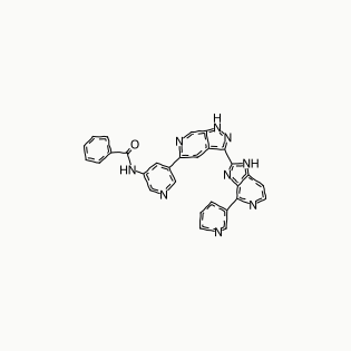 O=C(Nc1cncc(-c2cc3c(-c4nc5c(-c6cccnc6)nccc5[nH]4)n[nH]c3cn2)c1)c1ccccc1